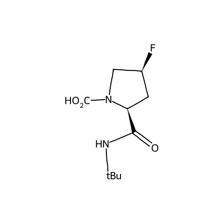 CC(C)(C)NC(=O)[C@@H]1C[C@H](F)CN1C(=O)O